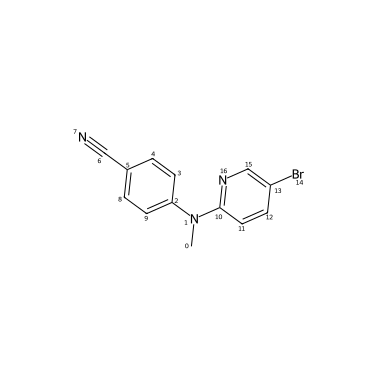 CN(c1ccc(C#N)cc1)c1ccc(Br)cn1